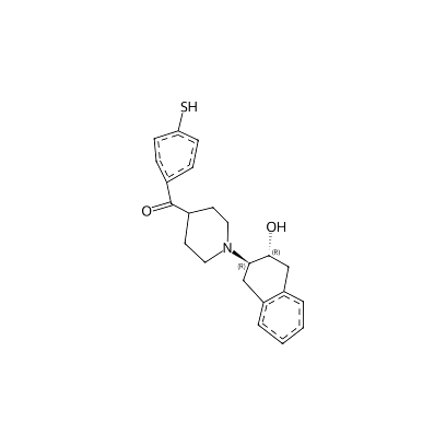 O=C(c1ccc(S)cc1)C1CCN([C@@H]2Cc3ccccc3C[C@H]2O)CC1